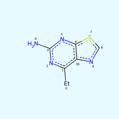 CCc1nc(N)nc2scnc12